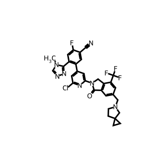 Cn1cnnc1-c1cc(F)c(C#N)cc1-c1cc(Cl)nc(N2Cc3c(cc(CN4CCC5(CC5)C4)cc3C(F)(F)F)C2=O)c1